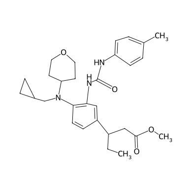 CCC(CC(=O)OC)c1ccc(N(CC2CC2)C2CCOCC2)c(NC(=O)Nc2ccc(C)cc2)c1